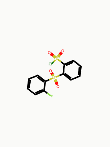 O=S(=O)(Cl)c1ccccc1S(=O)(=O)c1ccccc1F